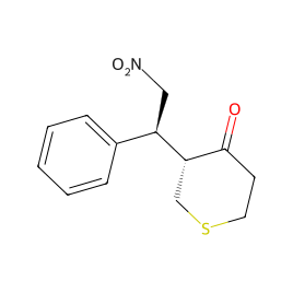 O=C1CCSC[C@@H]1[C@H](C[N+](=O)[O-])c1ccccc1